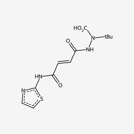 CC(C)(C)N(NC(=O)/C=C/C(=O)Nc1nccs1)C(=O)O